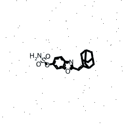 NS(=O)(=O)Oc1ccc2nc(C=C3C4CC5CC(C4)CC3C5)oc2c1